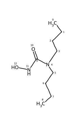 CCCCN(CCCC)C(=O)NO